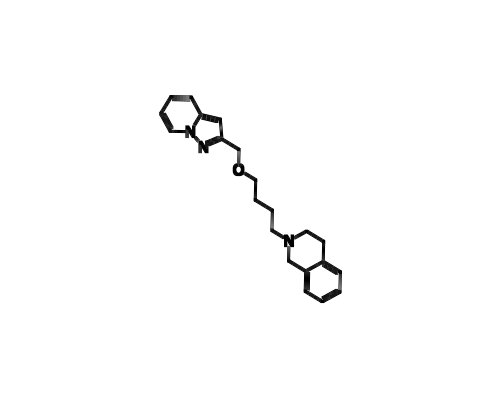 c1ccc2c(c1)CCN(CCCCOCc1cc3ccccn3n1)C2